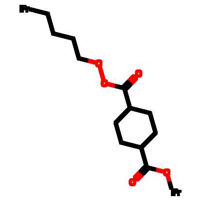 CC(C)CCCCOOC(=O)C1CCC(C(=O)OC(C)C)CC1